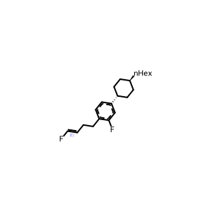 CCCCCC[C@H]1CC[C@H](c2ccc(CC/C=C/F)c(F)c2)CC1